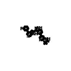 C=C(Nc1cncc(-c2ccc3[nH]nc(-c4cc5c(-c6cccc(F)c6)cncc5[nH]4)c3n2)c1)C(C)(C)C